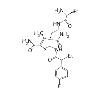 CCC(C(=O)NC1SC(C(N)=O)=C(C)C1(CCNC(=O)[C@@H](N)C(C)C)C(N)=O)c1ccc(F)cc1